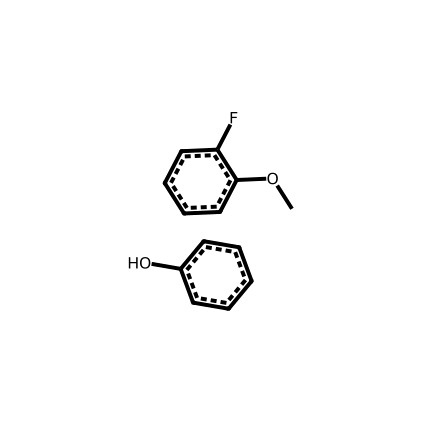 COc1ccccc1F.Oc1ccccc1